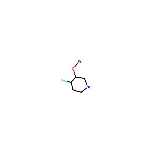 CCOC1CNCCC1F